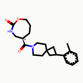 Cc1ccccc1C1CC2(CCN(C(=O)[C@@H]3CCCOC(=O)NC3)CC2)C1